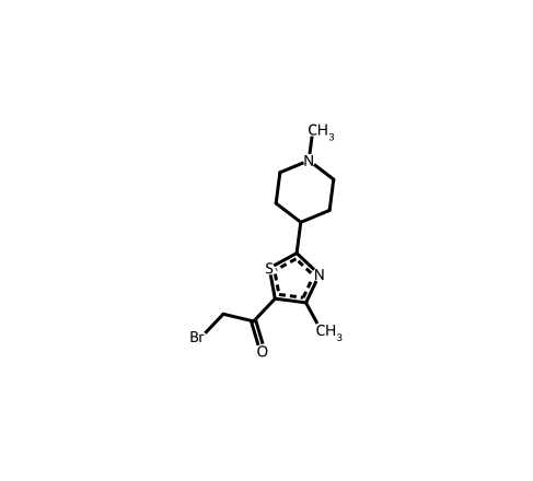 Cc1nc(C2CCN(C)CC2)sc1C(=O)CBr